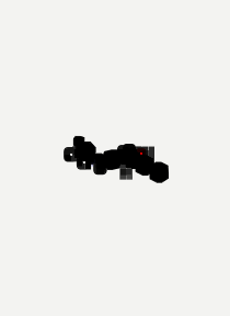 COC1(CC(NC(=O)C2CCN(C(=O)/C=C/c3ccc(SC)c(Cl)c3Cl)CC2)C(=O)O)C=CC(c2ccccc2)C=C1